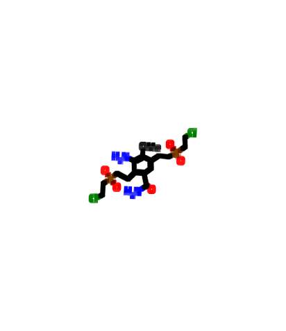 COc1c(CCS(=O)(=O)CCCl)cc(C(N)=O)c(CCS(=O)(=O)CCCl)c1N